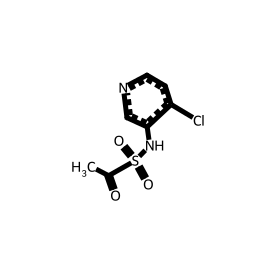 CC(=O)S(=O)(=O)Nc1cnccc1Cl